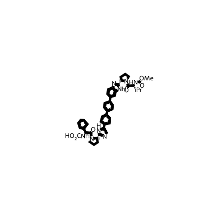 COC(=O)N[C@@H](C(=O)N1CCC[C@H]1c1nc2ccc(-c3ccc(-c4ccc(-c5cnc([C@@H]6CCCN6C(=O)[C@H](NC(=O)O)c6ccccc6)[nH]5)cc4)cc3)cc2[nH]1)C(C)C